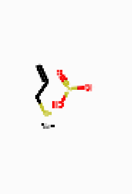 C=CCS.O=S(O)O.[NaH]